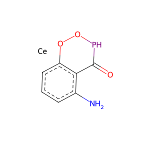 Nc1cccc2c1C(=O)POO2.[Ce]